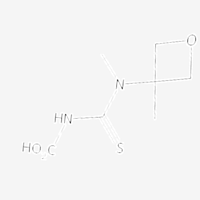 CN(C(=S)NC(=O)O)C1(C)COC1